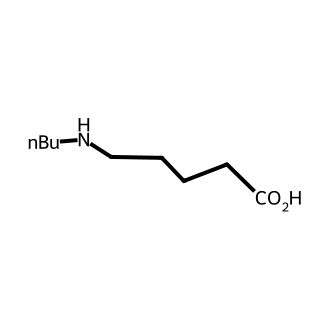 CCCCNCCCCC(=O)O